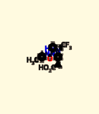 Cc1ccc(NC(=O)Nc2cc([C@H]3C[C@H]3C(=O)O)ccc2N(CCC(F)(F)F)C2CCCCC2)cc1